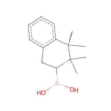 CC1(C)c2ccccc2CC(B(O)O)C1(C)C